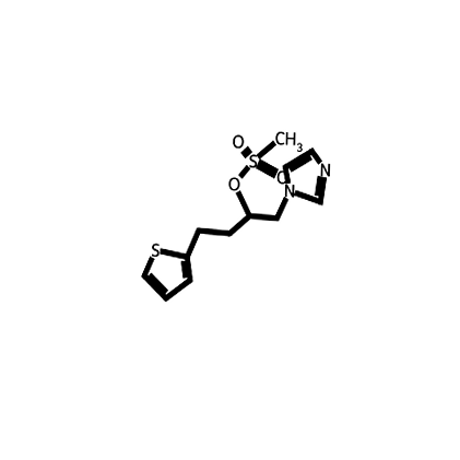 CS(=O)(=O)OC(CCc1cccs1)Cn1ccnc1